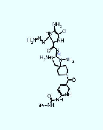 CC(C)NC(=O)NC1=CC=C(C(=O)N2CCC3(CC2)CN(N)/C(=N\C(=O)C2NC(Cl)=C(N)NC2N=NN)N3N)CN1